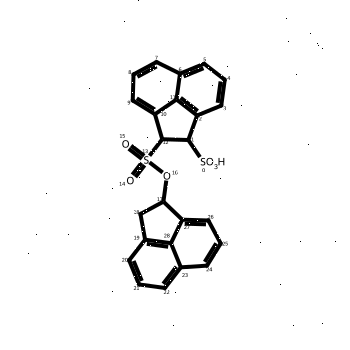 O=S(=O)(O)C1c2cccc3cccc(c23)C1S(=O)(=O)OC1Cc2cccc3cccc1c23